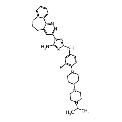 CC(C)N1CCN(C2CCN(c3ccc(Nc4nc(N)n(-c5cc6c(nn5)-c5ccccc5CCC6)n4)cc3F)CC2)CC1